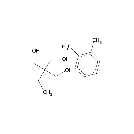 CCC(CO)(CO)CO.Cc1ccccc1C